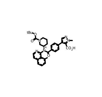 Cc1cccc2ccnc(N(C(=O)c3ccc(-c4cnn(C)c4C(=O)O)cc3)[C@@H]3CCCN(C(=O)OC(C)(C)C)C3)c12